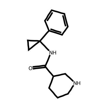 O=C(NC1(c2ccccc2)CC1)C1CCCNC1